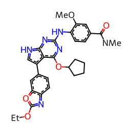 CCOc1nc2ccc(-c3c[nH]c4nc(Nc5ccc(C(=O)NC)cc5OC)nc(OC5CCCC5)c34)cc2o1